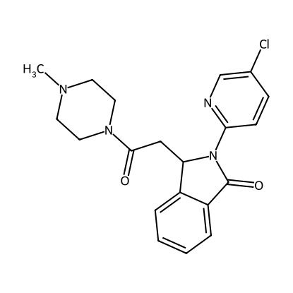 CN1CCN(C(=O)CC2c3ccccc3C(=O)N2c2ccc(Cl)cn2)CC1